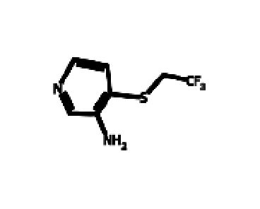 Nc1cnccc1SCC(F)(F)F